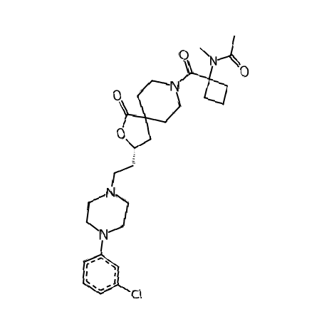 CC(=O)N(C)C1(C(=O)N2CCC3(CC2)C[C@H](CCN2CCN(c4cccc(Cl)c4)CC2)OC3=O)CCC1